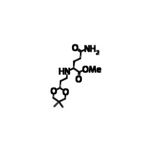 COC(=O)[C@H](CCC(N)=O)NCCC1OCC(C)(C)CO1